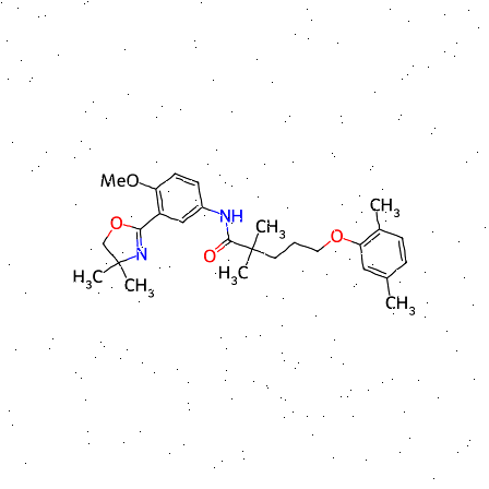 COc1ccc(NC(=O)C(C)(C)CCCOc2cc(C)ccc2C)cc1C1=NC(C)(C)CO1